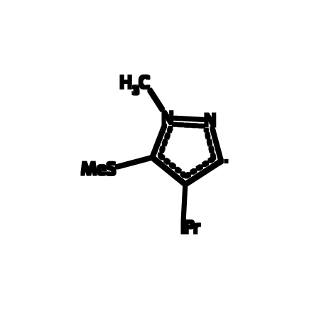 CSc1c(C(C)C)[c]nn1C